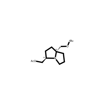 CC(=O)OC[C@H]1CC[C@@]2(COC(C)(C)C)CCCN12